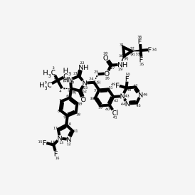 CC(C)(C)C[C@]1(c2ccc(-c3cnn(C(F)F)c3)cc2)NC(=N)N([C@H](COC(=O)N[C@@H]2C[C@H]2C(F)(F)F)c2ccc(Cl)c(N3N=CN=CC3(F)F)c2)C1=O